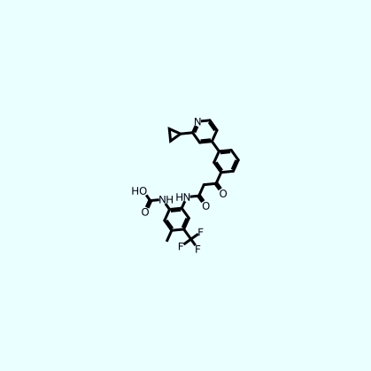 Cc1cc(NC(=O)O)c(NC(=O)CC(=O)c2cccc(-c3ccnc(C4CC4)c3)c2)cc1C(F)(F)F